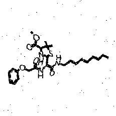 CCCCCCCCCNC(=O)[C@@H](NC(=O)COc1ccccc1)C1NC(C(=O)OC)C(C)(C)S1